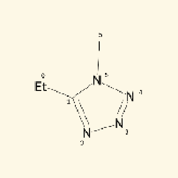 CCc1nnnn1I